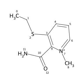 CCSc1ccc[n+](C)c1C(N)=O